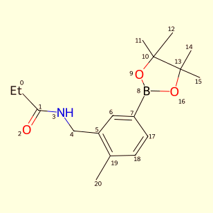 CCC(=O)NCc1cc(B2OC(C)(C)C(C)(C)O2)ccc1C